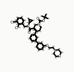 CC(C)(C)OC(=O)N1CCC(c2cccc(-c3cccc(OCCN4CCOCC4)c3)c2)=C(C(=O)N(Cc2cccc(Cl)c2Cl)C2CC2)C1